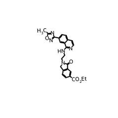 CCOC(=O)c1ccc2c(c1)C(=O)N(CCNc1nccc3ccc(-c4noc(C)n4)cc13)C2